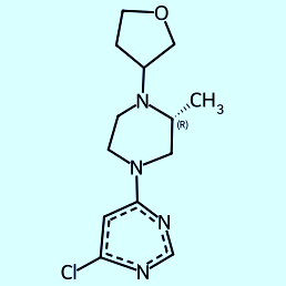 C[C@@H]1CN(c2cc(Cl)ncn2)CCN1C1CCOC1